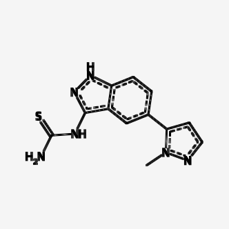 Cn1nccc1-c1ccc2[nH]nc(NC(N)=S)c2c1